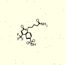 NC(=O)CCCCn1c(=O)cc(C(F)(F)F)c2cc(S(=O)(=O)O)ccc21